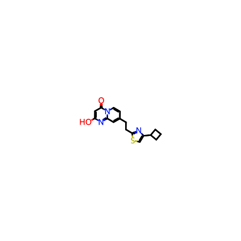 O=c1cc(O)nc2cc(CCc3nc(C4CCC4)cs3)ccn12